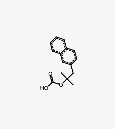 CC(C)(Cc1ccc2ccccc2c1)OC(=O)O